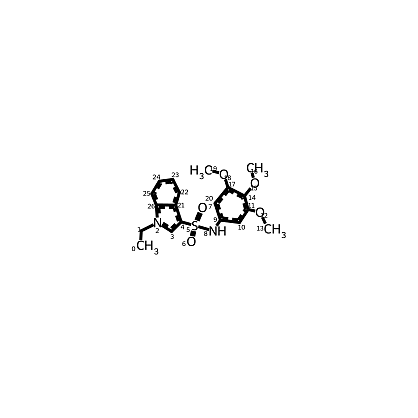 CCn1cc(S(=O)(=O)Nc2cc(OC)c(OC)c(OC)c2)c2ccccc21